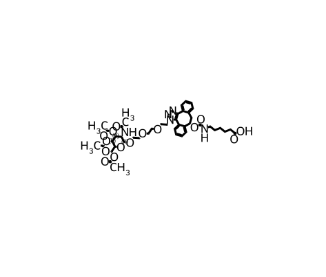 CC(=O)NC1[C@H](OCCOCCOCCn2nnc3c2-c2ccccc2C(OC(=O)NCCCCCC(=O)O)Cc2ccccc2-3)OC(COC(C)=O)[C@H](OC(C)=O)[C@@H]1OC(C)=O